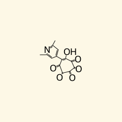 Cc1cc(-c2c(O)c(=O)c(=O)c(=O)c(=O)c2=O)cc(C)n1